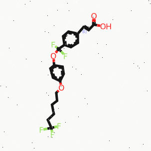 O=C(O)/C=C/c1ccc(C(F)(F)Oc2ccc(OCCCCCC(F)(F)F)cc2)cc1